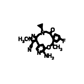 C[C@H]1Oc2cc(cnc2N)-c2c(nn(C)c2C#N)CN(C2CC2)CC(=O)c2ccc(F)cc21